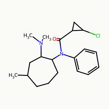 CC1CCCC(N(C(=O)C2CC2Cl)c2ccccc2)C(N(C)C)C1